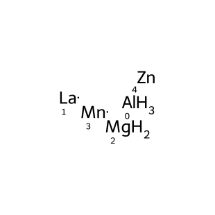 [AlH3].[La].[MgH2].[Mn].[Zn]